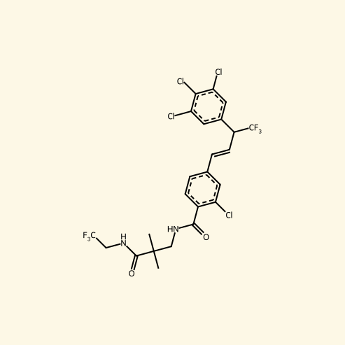 CC(C)(CNC(=O)c1ccc(/C=C/C(c2cc(Cl)c(Cl)c(Cl)c2)C(F)(F)F)cc1Cl)C(=O)NCC(F)(F)F